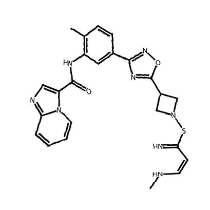 CN/C=C\C(=N)SN1CC(c2nc(-c3ccc(C)c(NC(=O)c4cnc5ccccn45)c3)no2)C1